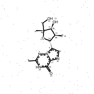 Cc1nn2c([C@@H]3O[C@](C)(CO)[C@@H](O)[C@H]3F)cnc2c(=O)[nH]1